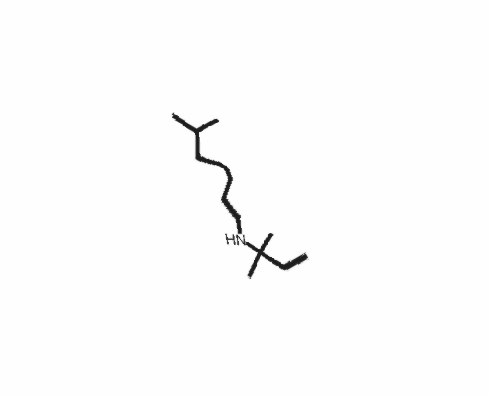 CCC(C)(C)NCCCCC(C)C